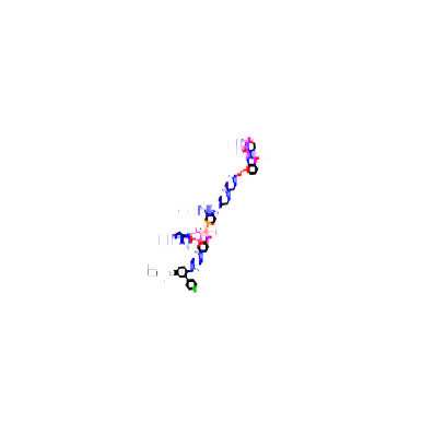 CC1(C)CCC(CN2CCN(c3ccc(C(=O)NS(=O)(=O)c4ccc(NCC5CCN(C6CCN(CCOc7cccc8c7CN(C7CCC(=O)NC7=O)C8=O)CC6)CC5)c([N+](=O)[O-])c4)c(Oc4cnc5[nH]ccc5c4)c3)CC2)=C(c2ccc(Cl)cc2)C1